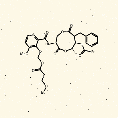 CCOCCC(=O)OCOc1c(OC)ccnc1C(=O)N[C@H]1COC(=O)C(Cc2ccccc2)[C@@H](OC(=O)C(C)C)[C@H](C)OC1=O